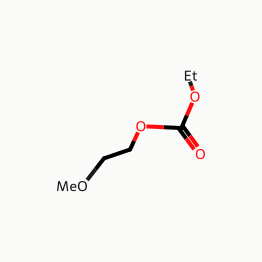 CCOC(=O)OCCOC